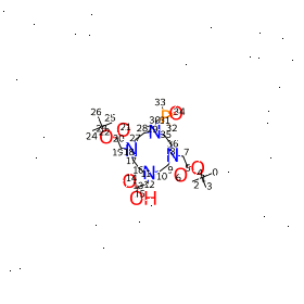 CC(C)(C)OC(=O)CN1CCN(CC(=O)O)CCN(CC(=O)OC(C)(C)C)CCN(CP(C)(C)=O)CC1